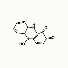 O=C1C=CC2=C(NC3C=CC=CC3N2O)C1=O